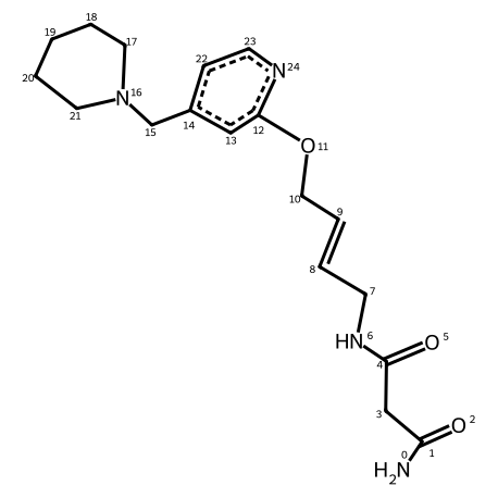 NC(=O)CC(=O)NCC=CCOc1cc(CN2CCCCC2)ccn1